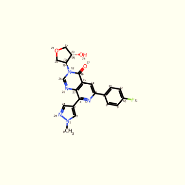 Cn1cc(-c2nc(-c3ccc(F)cc3)cc3c(=O)n([C@H]4COC[C@@H]4O)cnc23)cn1